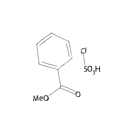 COC(=O)c1ccccc1.O=S(=O)(O)Cl